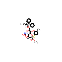 COC(=O)C1(Sc2ccc(C)cc2)C[C@H]2OC(=O)NC2[C@H]([C@H](O)[C@H](O)CO[Si](c2ccccc2)(c2ccccc2)C(C)(C)C)O1